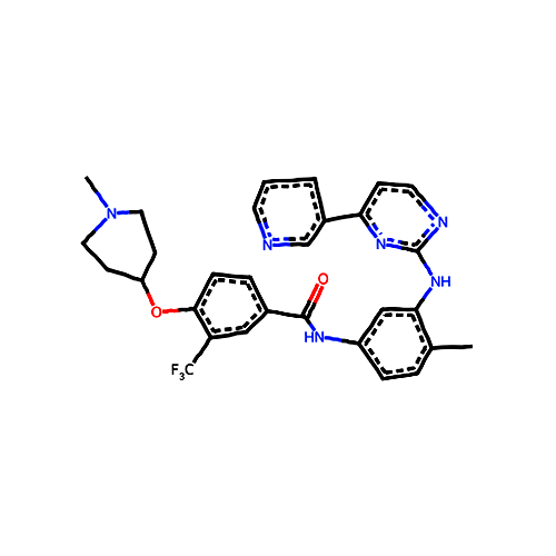 Cc1ccc(NC(=O)c2ccc(OC3CCN(C)CC3)c(C(F)(F)F)c2)cc1Nc1nccc(-c2cccnc2)n1